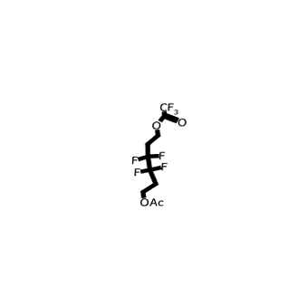 CC(=O)OCCC(F)(F)C(F)(F)CCOC(=O)C(F)(F)F